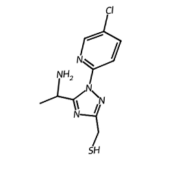 CC(N)c1nc(CS)nn1-c1ccc(Cl)cn1